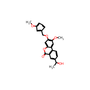 COc1cccc(COc2cc3oc(=O)c4cc(C(C)O)ccc4c3cc2OC)c1